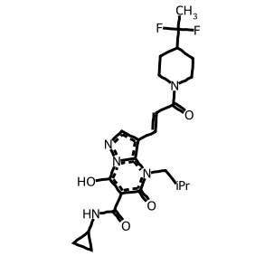 CC(C)Cn1c(=O)c(C(=O)NC2CC2)c(O)n2ncc(/C=C/C(=O)N3CCC(C(C)(F)F)CC3)c12